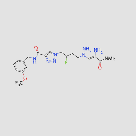 CNC(=O)/C(N)=C/N(N)CCC(F)Cn1cc(C(=O)NCc2cccc(OC(F)(F)F)c2)nn1